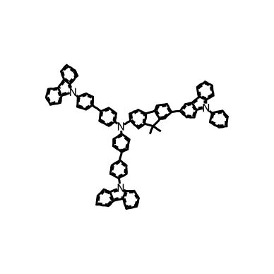 CC1(C)c2cc(-c3ccc4c(c3)c3ccccc3n4-c3ccccc3)ccc2-c2ccc(N(c3ccc(-c4ccc(-n5c6ccccc6c6ccccc65)cc4)cc3)c3ccc(-c4ccc(-n5c6ccccc6c6ccccc65)cc4)cc3)cc21